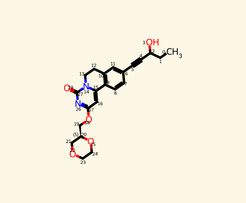 CCC(O)C#Cc1ccc2c(c1)CCn1c-2cc(OC[C@@H]2COCCO2)nc1=O